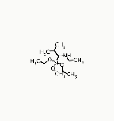 CCNC(C(C)C)[Si](OC)(OCC)OCC